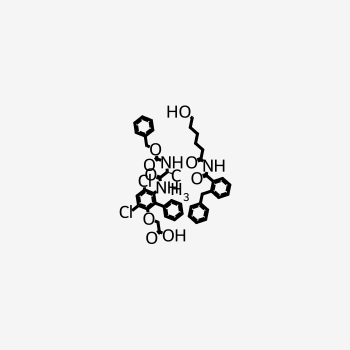 C[C@@H](NC(=O)OCc1ccccc1)C(=O)Nc1c(Cl)cc(Cl)c(OCC(=O)O)c1-c1ccccc1.O=C(CCCCCO)NC(=O)c1ccccc1Cc1ccccc1